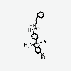 CCOc1ccc2c(N)c(-c3ccc(NC(=O)NCCc4ccccc4)cc3)n(C(C)C)c2c1